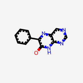 O=c1[nH]c2ncncc2nc1-c1ccccc1